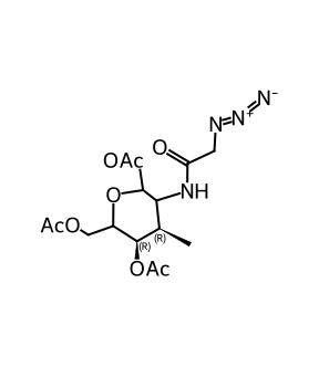 CC(=O)OCC1OC(OC(C)=O)C(NC(=O)CN=[N+]=[N-])[C@@H](C)[C@H]1OC(C)=O